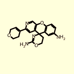 NC1=NC2(CCO1)c1cc(N)ccc1Oc1cnc(C3=CCOCC3)cc12